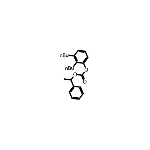 CCCCc1cccc(OC(=O)OC(C)c2ccccc2)c1CCCC